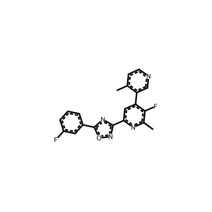 Cc1ccncc1-c1cc(-c2noc(-c3cccc(F)c3)n2)nc(C)c1F